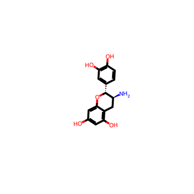 N[C@H]1Cc2c(O)cc(O)cc2O[C@@H]1c1ccc(O)c(O)c1